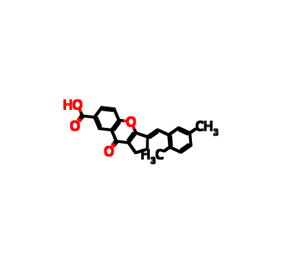 Cc1ccc(C)c(C=C2CCc3c2oc2ccc(C(=O)O)cc2c3=O)c1